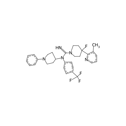 Cc1cccnc1C1(F)CCN(C(=N)N(c2ccc(C(F)(F)F)cc2)C2CCN(c3ccccc3)CC2)CC1